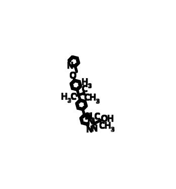 CC(C)C(C)(c1ccc(OCc2ccccn2)cc1)c1ccc(-c2ccc3nnc(C(C)(C)O)n3n2)cc1